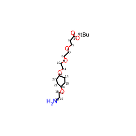 CC(C)(C)OC(=O)CCOCCOCCOC1CCC(OCCN)CC1